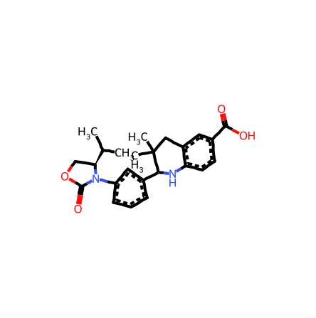 CC(C)[C@@H]1COC(=O)N1c1cccc(C2Nc3ccc(C(=O)O)cc3CC2(C)C)c1